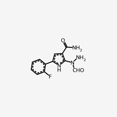 NC(=O)c1cc(-c2ccccc2F)[nH]c1N(N)C=O